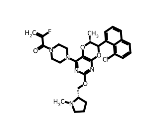 C=C(F)C(=O)N1CCN(c2nc(OC[C@@H]3CCCN3C)nc3c2O[C@@H](C)C(c2cccc4cccc(Cl)c24)O3)CC1